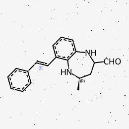 C[C@@H]1CC(C=O)Nc2cccc(/C=C/c3ccccc3)c2N1